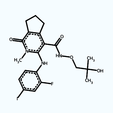 Cn1c(Nc2ccc(I)cc2F)c(C(=O)NOCC(C)(C)O)c2c(c1=O)CCC2